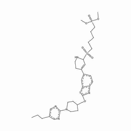 CCCc1cnc(N2CCC(Oc3nc4ccc(C5=CC(S(=O)(=O)CCCCCP(=O)(OC)OC)NCC5)cc4s3)CC2)nc1